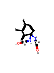 C=C1C(C)=C(C)C=CC1(N=C=O)N=C=O